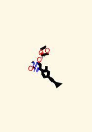 Cc1cc(C#CC2CC2)ccc1-c1cc(OC[C@H]2COCCO2)n(C)c(=O)n1